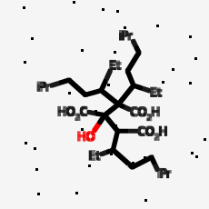 CCC(CCC(C)C)C(C(=O)O)C(O)(C(=O)O)C(C(=O)O)(C(CC)CCC(C)C)C(CC)CCC(C)C